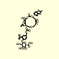 C=CC[C@H]1C(=O)C(C)(C)[C@@H](O)CC(=O)O[C@H](c2ccc3sc(C)nc3c2)C[C@@H]2O[C@]2(C)CCC[C@H](C)[C@@H]1OC(=O)OCc1ccc(O[C@@H]2O[C@H](C(=O)O)[C@@H](O)[C@H](O)[C@H]2O)c([N+](=O)[O-])c1